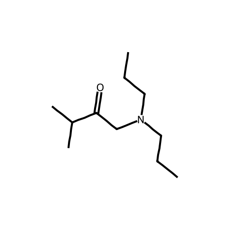 CCCN(CCC)CC(=O)C(C)C